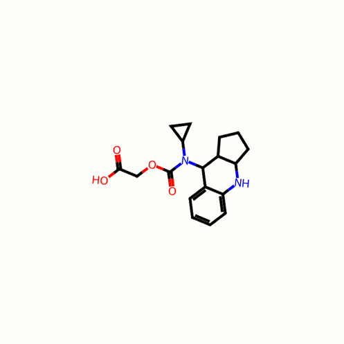 O=C(O)COC(=O)N(C1CC1)C1c2ccccc2NC2CCCC21